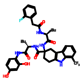 CCC(C)[C@H](NC(=O)Cc1ccccc1F)C(=O)N[C@]1(C(=O)N[C@H](C(=O)Nc2ccc(O)cc2O)C(C)CC)CCc2[nH]c3c(C(F)(F)F)cccc3c2C1